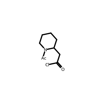 CC(=O)N1CCCCC1CC(=O)Cl